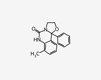 Cc1cccc2c1NC(=O)N1CCOC21c1ccccc1